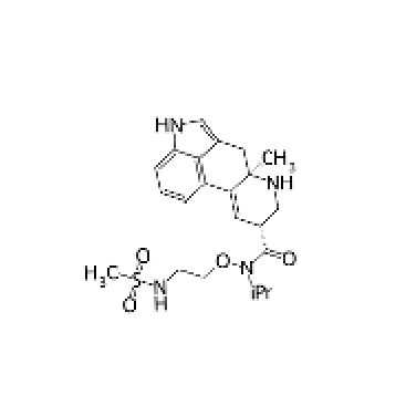 CC(C)N(OCCNS(C)(=O)=O)C(=O)[C@@H]1C=C2c3cccc4[nH]cc(c34)C[C@@]2(C)NC1